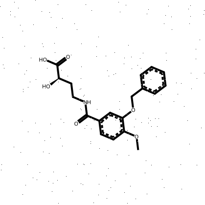 COc1ccc(C(=O)NCC[C@@H](O)C(=O)O)cc1OCc1ccccc1